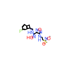 CON=S(C)(=O)CCNc1nonc1/C(=N/O)N/C=C1/Cc2ccc(F)cc21